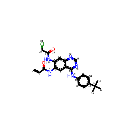 C=CC(=O)Nc1cc2c(Nc3ccc(C(C)(C)C)cc3)ncnc2cc1NC(=O)CCl